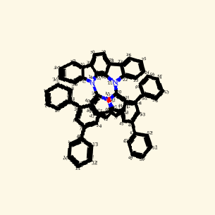 C1=CCCC(c2cc(-c3ccccc3)cc(-c3cccc(-n4c5ccccc5c5ccc6c7ccccc7n(-c7cccc(-c8cc(-c9ccccc9)cc(-c9ccccc9)c8)n7)c6c54)n3)c2)=C1